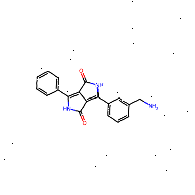 NCc1cccc(C2=C3C(=O)NC(c4ccccc4)=C3C(=O)N2)c1